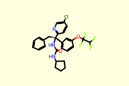 O=C(NC1CCCC1)N[C@@](Cc1ccccc1)(c1cccc(OC(F)(F)C(F)F)c1)c1ccc(Cl)cn1